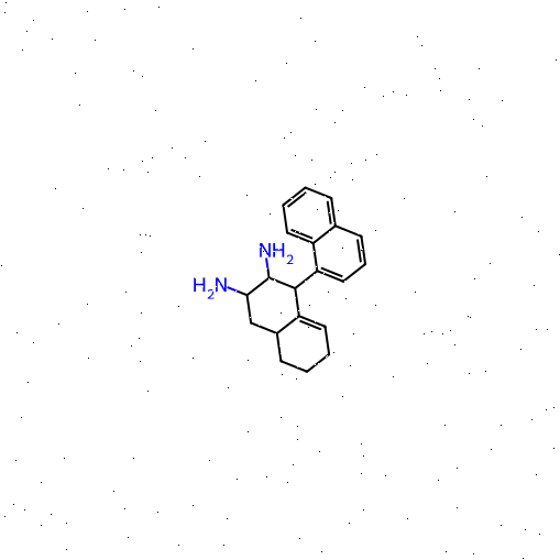 NC1CC2CCCC=C2C(c2cccc3ccccc23)C1N